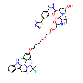 Cc1ncsc1-c1ccc(C(C)NC(=O)[C@@H]2C[C@@H](O)CN2C(=O)C(NC(=O)COCCOCCCCOc2cc(F)c([C@@H]3c4[nH]c5ccccc5c4C[C@@H](C)N3CC(C)(C)F)c(F)c2)C(C)(C)C)cc1